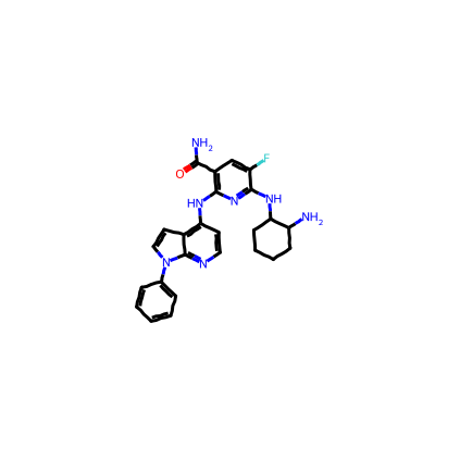 NC(=O)c1cc(F)c(NC2CCCCC2N)nc1Nc1ccnc2c1ccn2-c1ccccc1